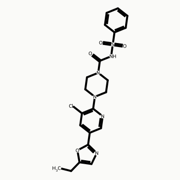 CCc1cnc(-c2cnc(N3CCN(C(=O)NS(=O)(=O)c4ccccc4)CC3)c(Cl)c2)o1